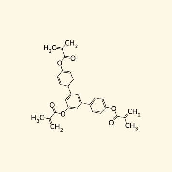 C=C(C)C(=O)OC1=CCC(c2cc(OC(=O)C(=C)C)cc(-c3ccc(OC(=O)C(=C)C)cc3)c2)C=C1